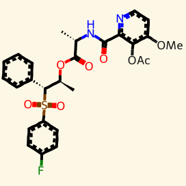 COc1ccnc(C(=O)N[C@@H](C)C(=O)O[C@@H](C)[C@@H](c2ccccc2)S(=O)(=O)c2ccc(F)cc2)c1OC(C)=O